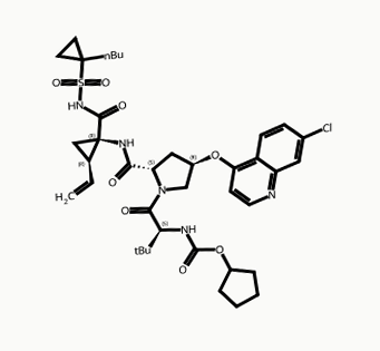 C=C[C@H]1C[C@]1(NC(=O)[C@@H]1C[C@@H](Oc2ccnc3cc(Cl)ccc23)CN1C(=O)[C@@H](NC(=O)OC1CCCC1)C(C)(C)C)C(=O)NS(=O)(=O)C1(CCCC)CC1